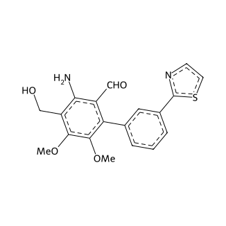 COc1c(CO)c(N)c(C=O)c(-c2cccc(-c3nccs3)c2)c1OC